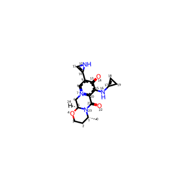 C[C@@H]1CCO[C@H]2Cn3cc(C4=CN4)c(=O)c(NC4=CC4)c3C(=O)N12